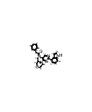 O=C(Cc1ccccc1)N1CC2COCCN2c2nc(-c3cccc4[nH]ccc34)ncc21